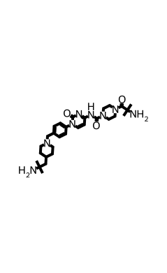 CC(C)(N)CC1CCN(Cc2ccc(-n3ccc(NC(=O)N4CCN(C(=O)C(C)(C)N)CC4)nc3=O)cc2)CC1